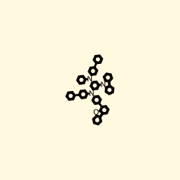 c1ccc(-c2ccc(N(c3ccccc3)c3cc(N(c4ccc(-c5ccccc5)cc4)c4ccc(-c5cccc6c5oc5ccccc56)cc4)cc(-n4c5ccccc5c5ccccc54)c3)cc2)cc1